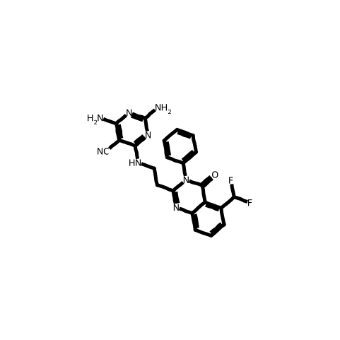 N#Cc1c(N)nc(N)nc1NCCc1nc2cccc(C(F)F)c2c(=O)n1-c1ccccc1